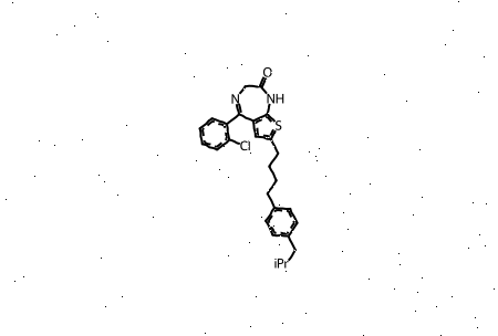 CC(C)Cc1ccc(CCCCc2cc3c(s2)NC(=O)CN=C3c2ccccc2Cl)cc1